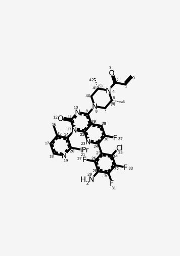 C=CC(=O)N1[C@H](C)CN(c2nc(=O)n(-c3c(C)ccnc3C(C)C)c3nc(-c4c(F)c(N)c(F)c(F)c4Cl)c(F)cc23)C[C@@H]1C